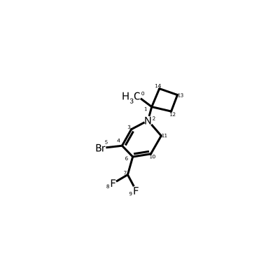 CC1(N2C=C(Br)C(C(F)F)=CC2)CCC1